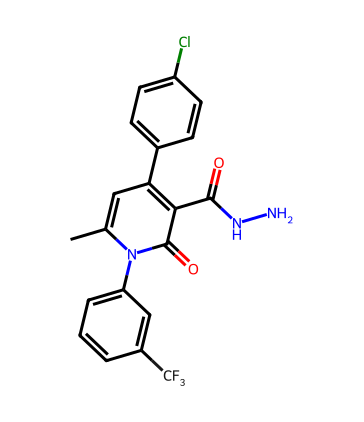 Cc1cc(-c2ccc(Cl)cc2)c(C(=O)NN)c(=O)n1-c1cccc(C(F)(F)F)c1